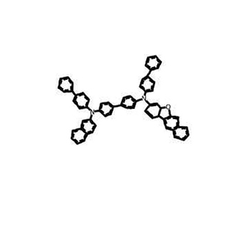 C1=CC2c3cc4ccccc4cc3OC2C=C1N(c1ccc(-c2ccccc2)cc1)c1ccc(-c2ccc(N(c3ccc(-c4ccccc4)cc3)c3ccc4ccccc4c3)cc2)cc1